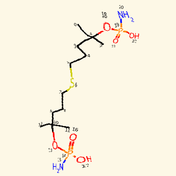 CC(C)(CCCSCCCC(C)(C)OP(N)(=O)O)OP(N)(=O)O